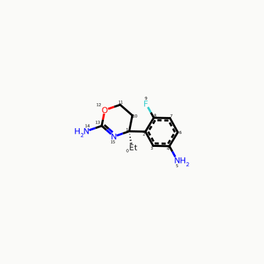 CC[C@@]1(c2cc(N)ccc2F)CCOC(N)=N1